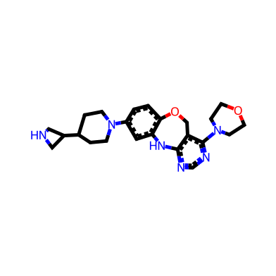 c1nc2c(c(N3CCOCC3)n1)COc1ccc(N3CCC(C4CNC4)CC3)cc1N2